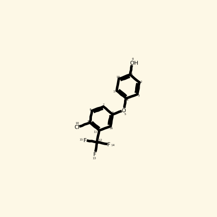 Oc1ccc(Oc2ccc(Cl)c(C(F)(F)F)c2)cc1